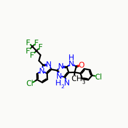 CC1(c2ccc(Cl)cc2)C(=O)Nc2nc(-c3nc(CCC(F)(F)C(F)(F)F)n4cc(Cl)ccc34)nc(N)c21